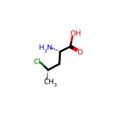 C[C@H](Cl)C[C@H](N)C(=O)O